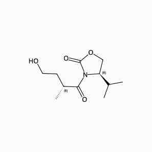 CC(C)[C@@H]1COC(=O)N1C(=O)[C@H](C)CCO